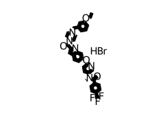 Br.CCOc1cccc(CN2CCN(C(=O)c3cc4ccc(Oc5ccc(N(C)C(=O)c6ccc(C(F)(F)F)cc6)cn5)cc4n3C)CC2)c1